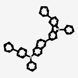 c1ccc(-c2ccc(N(c3ccccc3)c3ccc4cc(-c5ccc6c(c5)c5cc(-c7ccccc7)ccc5n6-c5ccccc5)ccc4c3)cc2)cc1